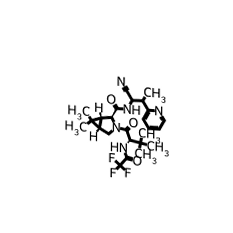 CC(c1ccccn1)C(C#N)NC(=O)[C@@H]1[C@@H]2[C@H](CN1C(=O)[C@@H](NC(=O)C(F)(F)F)C(C)(C)C)C2(C)C